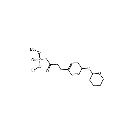 CCOP(=O)(CC(=O)CCC1=CCC(OC2CCCCO2)C=C1)OCC